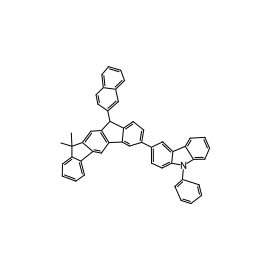 CC1(C)c2ccccc2-c2cc3c(cc21)C(c1ccc2ccccc2c1)c1ccc(-c2ccc4c(c2)c2ccccc2n4-c2ccccc2)cc1-3